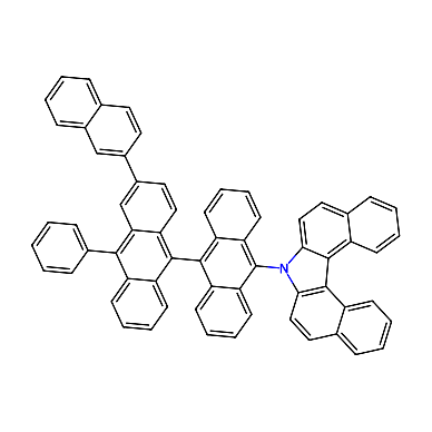 c1ccc(-c2c3ccccc3c(-c3c4ccccc4c(-n4c5ccc6ccccc6c5c5c6ccccc6ccc54)c4ccccc34)c3ccc(-c4ccc5ccccc5c4)cc23)cc1